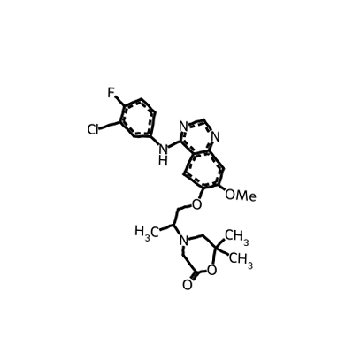 COc1cc2ncnc(Nc3ccc(F)c(Cl)c3)c2cc1OCC(C)N1CC(=O)OC(C)(C)C1